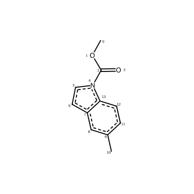 COC(=O)n1ccc2cc(C)ccc21